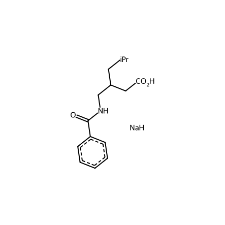 CC(C)CC(CNC(=O)c1ccccc1)CC(=O)O.[NaH]